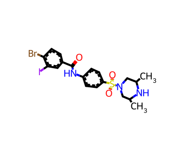 CC1CN(S(=O)(=O)c2ccc(NC(=O)c3ccc(Br)c(I)c3)cc2)CC(C)N1